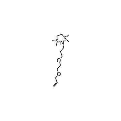 C=CCOCCOCCCN1S(C)(C)CCS1(C)C